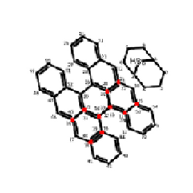 B1C2CCCC1CCC2.c1ccc(P(c2ccccc2)c2ccc3ccccc3c2-c2c(P(c3ccccc3)c3ccccc3)ccc3ccccc23)cc1